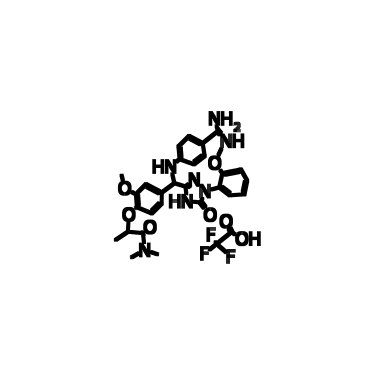 COc1cc(C(Nc2ccc(C(=N)N)cc2)c2nn(-c3ccccc3OC)c(=O)[nH]2)ccc1OC(C)C(=O)N(C)C.O=C(O)C(F)(F)F